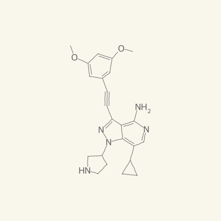 COc1cc(C#Cc2nn(C3CCNC3)c3c(C4CC4)cnc(N)c23)cc(OC)c1